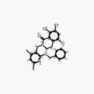 CCc1cc(Cl)c2c(c1Cl)C(=O)N(Cc1c(C)cc(C)nc1OCc1ccccc1)CC2